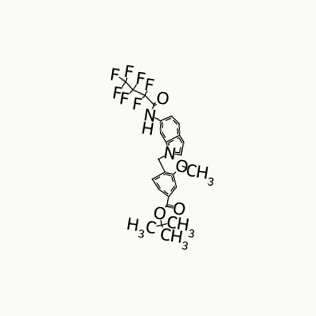 COc1cc(C(=O)OC(C)(C)C)ccc1Cn1ccc2ccc(NC(=O)C(F)(F)C(F)(F)C(F)(F)F)cc21